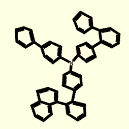 c1ccc(-c2ccc(N(c3ccc(-c4ccccc4-c4ccccc4)cc3)c3ccc(-c4ccccc4-c4cccc5ccccc45)cc3)cc2)cc1